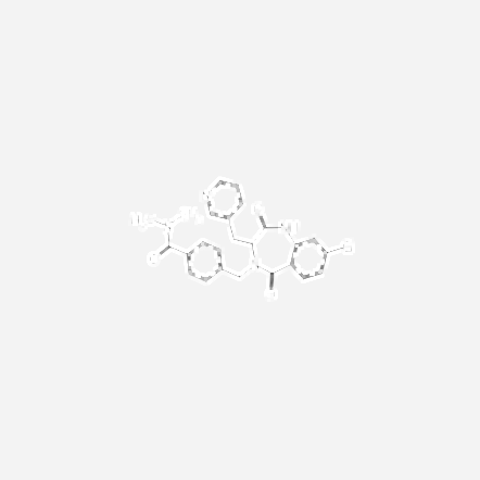 CN(C)C(=O)c1ccc(CN2C(=O)c3ccc(Cl)cc3NC(=O)C2Cc2cccnc2)cc1